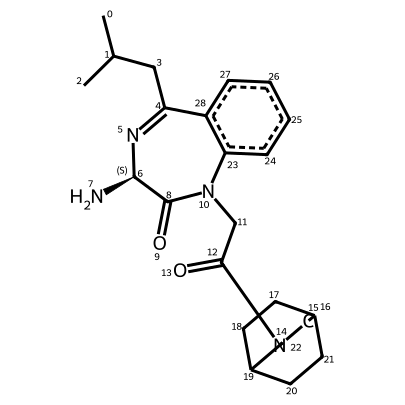 CC(C)CC1=N[C@H](N)C(=O)N(CC(=O)N2CC3CCC(CC3)C2)c2ccccc21